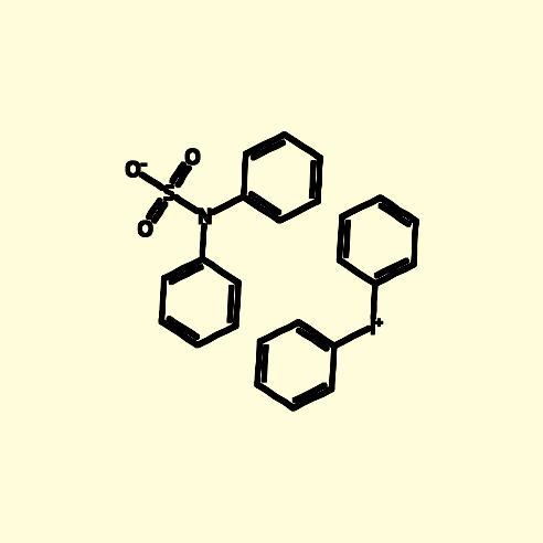 O=S(=O)([O-])N(c1ccccc1)c1ccccc1.c1ccc([I+]c2ccccc2)cc1